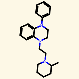 CC1CCCCN1CCN1CCN(c2ccccc2)c2ccccc21